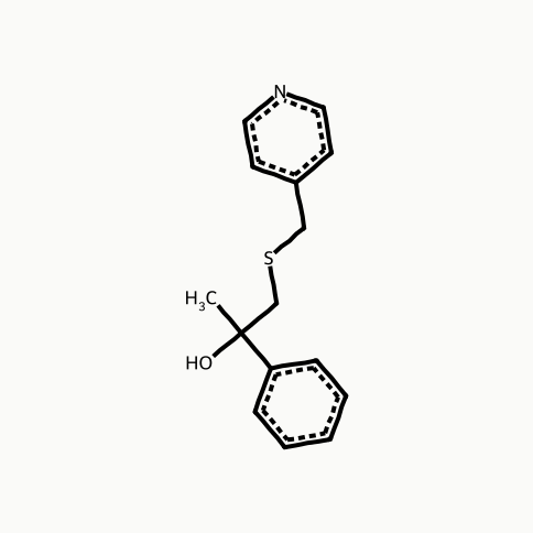 CC(O)(CSCc1ccncc1)c1ccccc1